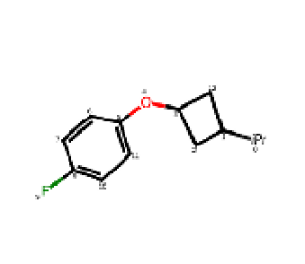 CC(C)C1CC(Oc2ccc(F)cc2)C1